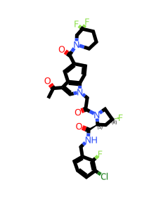 CC(=O)c1cn(CC(=O)N2C[C@H](F)C[C@H]2C(=O)NCc2cccc(Cl)c2F)c2ccc(C(=O)N3CCCC(F)(F)C3)cc12